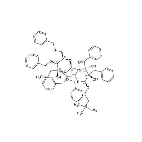 C=CC[C@@]1(O)[C@@H](OCc2ccccc2)[C@H]([C@]2(O)[C@@H](C(O)Cc3ccccc3)O[C@H](OCC[Si](C)(C)C)[C@@](O)(Cc3ccccc3)[C@]2(O)Cc2ccccc2)O[C@H](COCc2ccccc2)[C@@H]1OCc1ccccc1